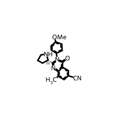 COc1ccc(-n2c([C@@H]3CCCN3)nc3c(C)cc(C#N)cc3c2=O)cc1